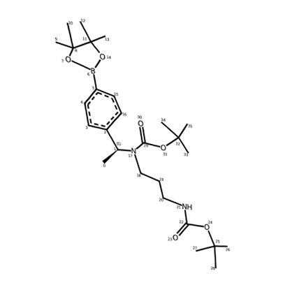 C[C@@H](c1ccc(B2OC(C)(C)C(C)(C)O2)cc1)N(CCCNC(=O)OC(C)(C)C)C(=O)OC(C)(C)C